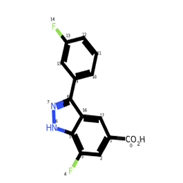 O=C(O)c1cc(F)c2[nH]nc(-c3cccc(F)c3)c2c1